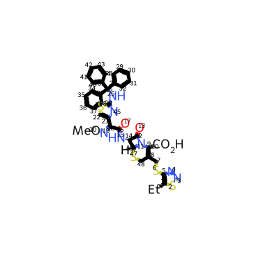 CCc1snnc1SCC1=C(C(=O)O)N2C(=O)[C@@H](NC(=O)C(=NOC)c3csc(NC(c4ccccc4)(c4ccccc4)c4ccccc4)n3)[C@H]2SC1